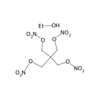 CCO.O=[N+]([O-])OCC(CO[N+](=O)[O-])(CO[N+](=O)[O-])CO[N+](=O)[O-]